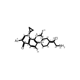 CC(=O)c1cn(C2CC2)c2c(OC(F)F)c(N3CCC(=C(Cl)CN)CC3)c(F)cc2c1=O